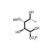 CO[C@@H]([C@H](O)[C@@H](O)C(=O)O)[C@@H](C)O